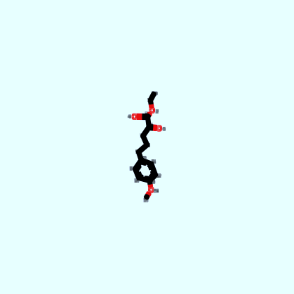 CCOC(=O)C(=O)CCCc1ccc(OC)cc1